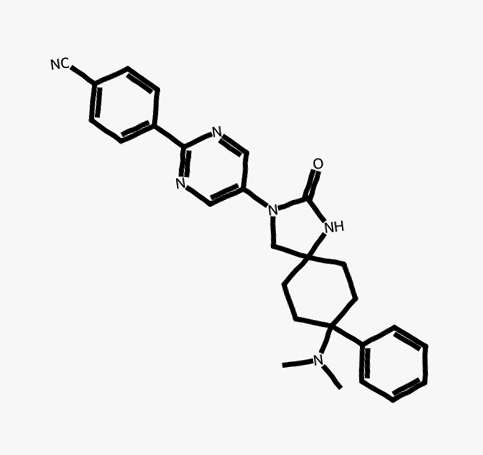 CN(C)C1(c2ccccc2)CCC2(CC1)CN(c1cnc(-c3ccc(C#N)cc3)nc1)C(=O)N2